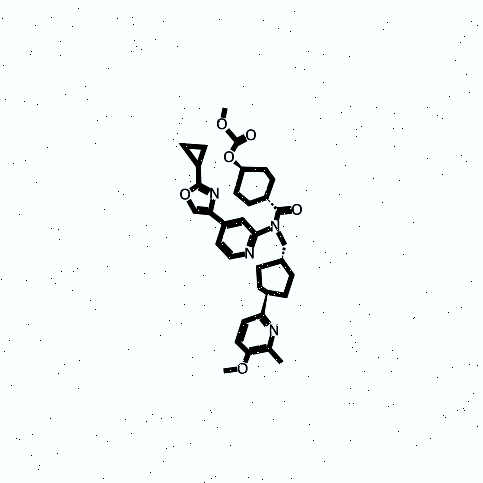 COC(=O)O[C@H]1CC[C@H](C(=O)N(C[C@H]2CC[C@H](c3ccc(OC)c(C)n3)CC2)c2cc(-c3coc(C4CC4)n3)ccn2)CC1